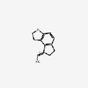 [C-]#[N+]/C=C1\CCc2ccc3c(c21)CCO3